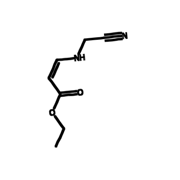 CCOC(=O)/C=C\NCC#N